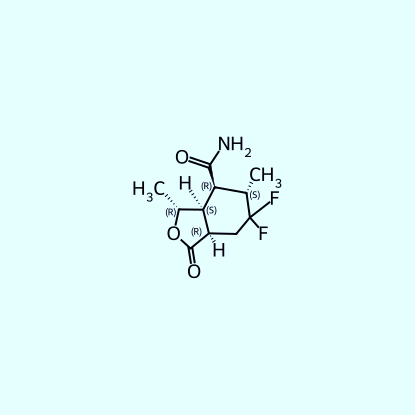 C[C@H]1OC(=O)[C@@H]2CC(F)(F)[C@@H](C)[C@H](C(N)=O)[C@H]12